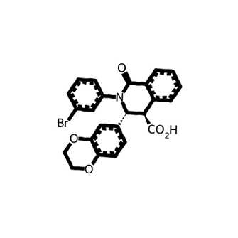 O=C(O)[C@@H]1c2ccccc2C(=O)N(c2cccc(Br)c2)[C@H]1c1ccc2c(c1)OCCO2